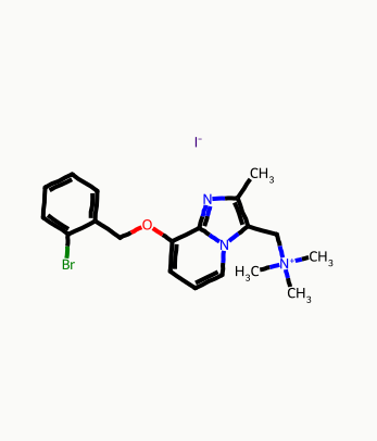 Cc1nc2c(OCc3ccccc3Br)cccn2c1C[N+](C)(C)C.[I-]